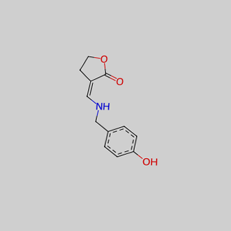 O=C1OCCC1=CNCc1ccc(O)cc1